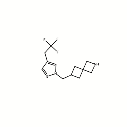 FC(F)(F)Cc1cnn(CC2CC3(CNC3)C2)c1